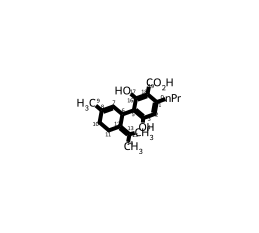 CCCc1cc(O)c(C2C=C(C)CCC2=C(C)C)c(O)c1C(=O)O